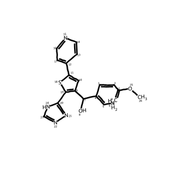 C=C(/C=C\C(=C/N)C(O)c1cc(-c2ccncc2)sc1-c1nnc[nH]1)OC